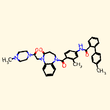 Cc1ccc(-c2ccccc2C(=O)Nc2ccc(C(=O)N3CCC(=O)N(CC(=O)N4CCN(C)CC4)c4ccccc43)c(C)c2)cc1